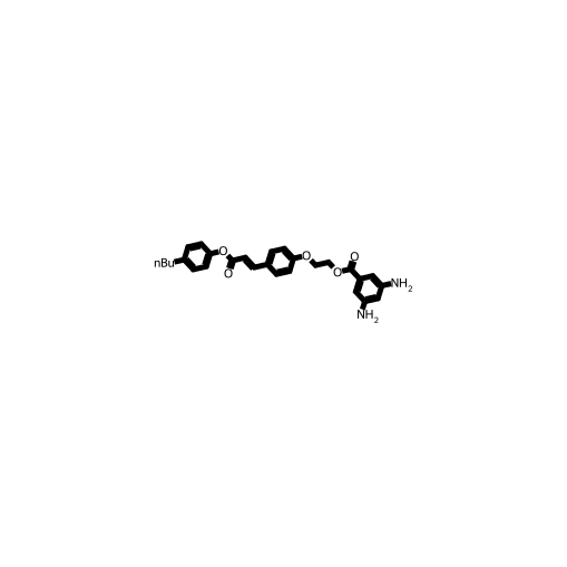 CCCCc1ccc(OC(=O)C=Cc2ccc(OCCOC(=O)c3cc(N)cc(N)c3)cc2)cc1